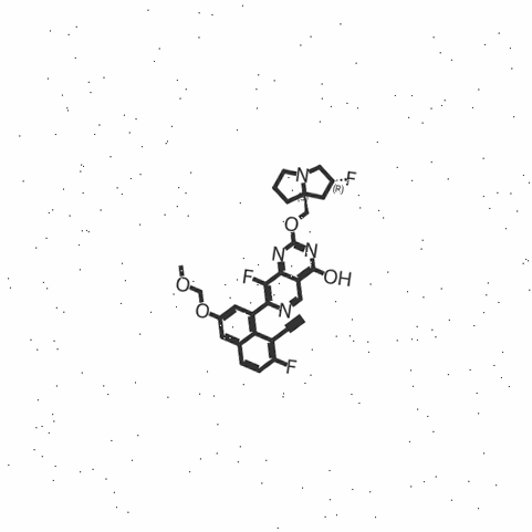 C#Cc1c(F)ccc2cc(OCOC)cc(-c3ncc4c(O)nc(OC[C@@]56CCCN5C[C@H](F)C6)nc4c3F)c12